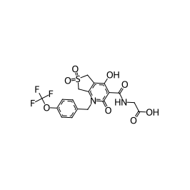 O=C(O)CNC(=O)c1c(O)c2c(n(Cc3ccc(OC(F)(F)F)cc3)c1=O)CS(=O)(=O)C2